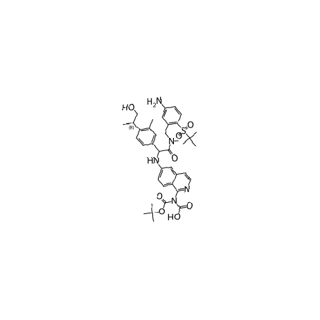 Cc1cc(C(Nc2ccc3c(N(C(=O)O)C(=O)OC(C)(C)C)nccc3c2)C(=O)N(C)Cc2cc(N)ccc2S(=O)(=O)C(C)(C)C)ccc1[C@@H](C)CO